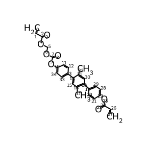 C=CC(=O)OCOC(=O)Oc1ccc(-c2cc(C)c(-c3ccc(OC(=O)C=C)cc3)cc2C)cc1